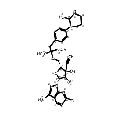 C#C[C@@]1(O)[C@@H](COC(Cc2ccc(N3CCCNC3O)cc2)(C(=O)O)C(=O)O)O[C@@H](n2nc(C)c3ccc(Cl)nc32)[C@@H]1O